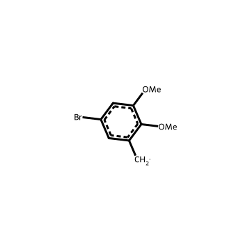 [CH2]c1cc(Br)cc(OC)c1OC